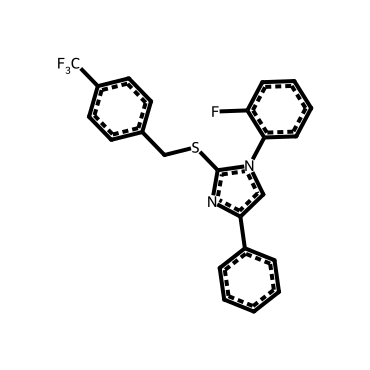 Fc1ccccc1-n1cc(-c2ccccc2)nc1SCc1ccc(C(F)(F)F)cc1